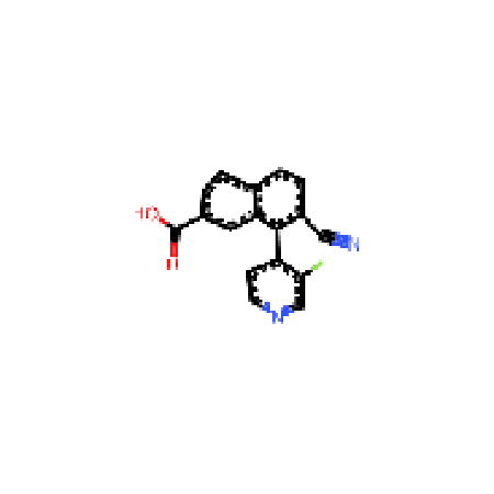 N#Cc1ccc2ccc(C(=O)O)cc2c1-c1ccncc1F